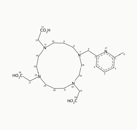 Cc1cccc(CN2CCCN(CC(=O)O)CCN(CC(=O)O)CCCN(CC(=O)O)CC2)n1